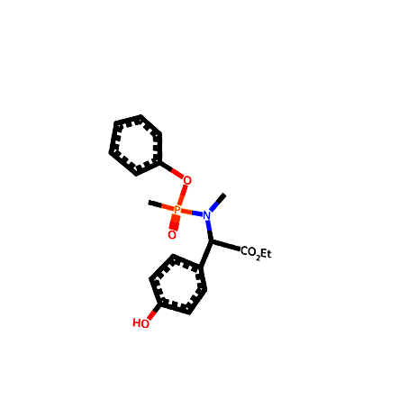 CCOC(=O)C(c1ccc(O)cc1)N(C)P(C)(=O)Oc1ccccc1